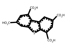 O=C(O)c1cc(C(=O)O)c2c(c1)sc1c(C(=O)O)cc(C(=O)O)cc12